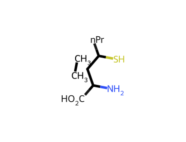 CC.CCCC(S)CC(N)C(=O)O